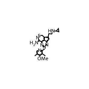 COc1c(C)cnc(Cn2nc3cc(CCNC4CC4)c4c-3c(n2)C(N)=NSC4)c1C